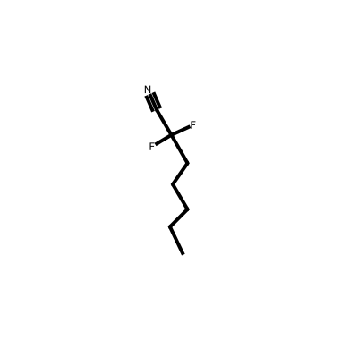 CCCCCC(F)(F)C#N